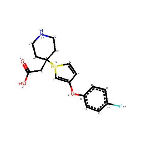 O=C(O)CC1([SH]2C=CC(Oc3ccc(F)cc3)=C2)CCNCC1